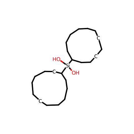 O[Si](O)(C1CCCCCCCCCCC1)C1CCCCCCCCCCC1